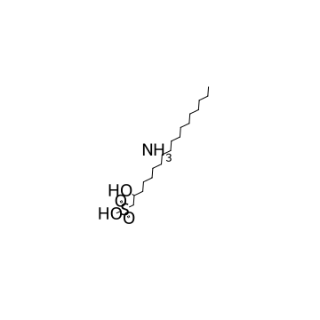 CCCCCCCCCCCCCCCCC(O)CS(=O)(=O)O.N